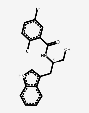 O=C(N[C@@H](CO)Cc1c[nH]c2ccccc12)c1cc(Br)ccc1Cl